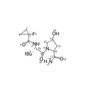 CC(C)(C)[C@H](NC(=O)C1(F)CC1)C(=O)N1CC(O)CC1C(N)=O